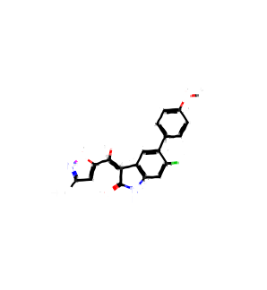 Cc1cc(/C(O)=C2\C(=O)Nc3cc(Cl)c(-c4ccc(OC(F)(F)F)cc4)cc32)on1